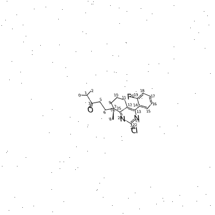 CC(C)C(=O)CC[C@]1(C)CCCc2c(-c3ccccc3F)nc(Cl)nc21